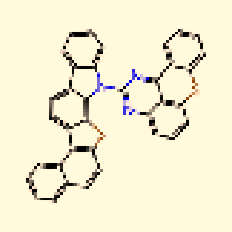 c1ccc2c(c1)Sc1cccc3nc(-n4c5ccccc5c5ccc6c(sc7ccc8ccccc8c76)c54)nc-2c13